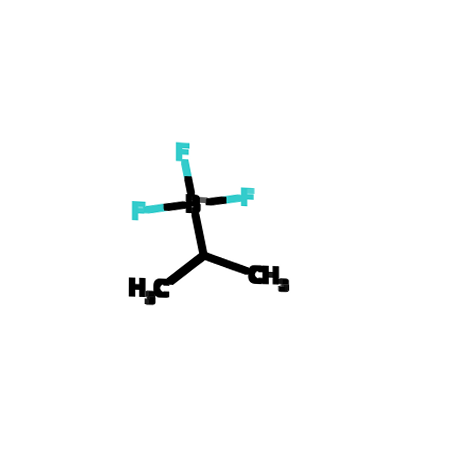 CC(C)[B-](F)(F)F